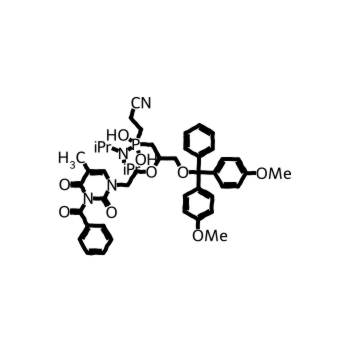 COc1ccc(C(OCC(CP(O)(O)(CCC#N)N(C(C)C)C(C)C)OCCn2cc(C)c(=O)n(C(=O)c3ccccc3)c2=O)(c2ccccc2)c2ccc(OC)cc2)cc1